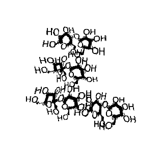 OC[C@H]1O[C@@](CO)(O[C@H]2O[C@H](CO)[C@@H](O)[C@H](O)[C@H]2O)[C@@H](O)[C@@H]1O.OC[C@H]1O[C@@](CO)(O[C@H]2O[C@H](CO)[C@@H](O)[C@H](O)[C@H]2O)[C@@H](O)[C@@H]1O.OC[C@H]1O[C@H](O[C@H]2[C@H](O)[C@@H](O)[C@H](O)O[C@@H]2CO)[C@H](O)[C@@H](O)[C@@H]1O.OC[C@H]1O[C@H](O[C@H]2[C@H](O)[C@@H](O)[C@H](O)O[C@@H]2CO)[C@H](O)[C@@H](O)[C@@H]1O